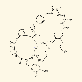 COc1ccc(C[C@H]2NC(=O)/C=C/C[C@@H]([C@H](C)[C@H]3O[C@@H]3c3ccc(CNC(=O)[C@H](C)NC(=O)[C@@H](NC(=O)CCN(CCC(=O)O)C(=O)CCC(=O)NCCS(=O)(=O)O)C(C)C)cc3)OC(=O)[C@H](CC(C)(C)C)OC(=O)C(C)(C)[C@H](C)NC2=O)cc1Cl